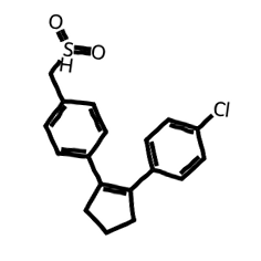 O=[SH](=O)Cc1ccc(C2=C(c3ccc(Cl)cc3)CCC2)cc1